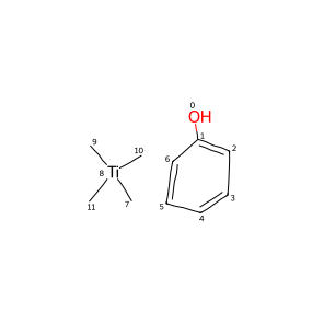 Oc1ccccc1.[CH3][Ti]([CH3])([CH3])[CH3]